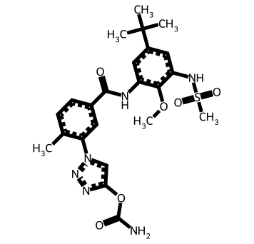 COc1c(NC(=O)c2ccc(C)c(-n3cc(OC(N)=O)nn3)c2)cc(C(C)(C)C)cc1NS(C)(=O)=O